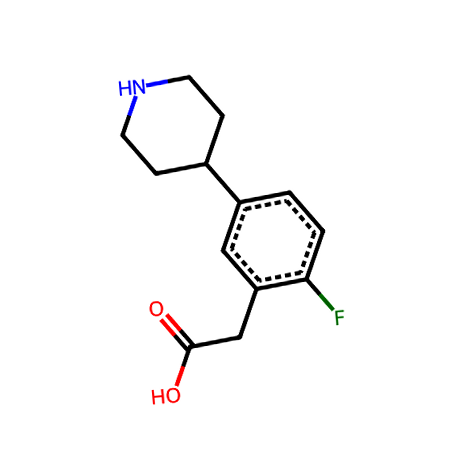 O=C(O)Cc1cc(C2CCNCC2)ccc1F